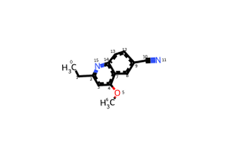 CCc1cc(OC)c2cc(C#N)ccc2n1